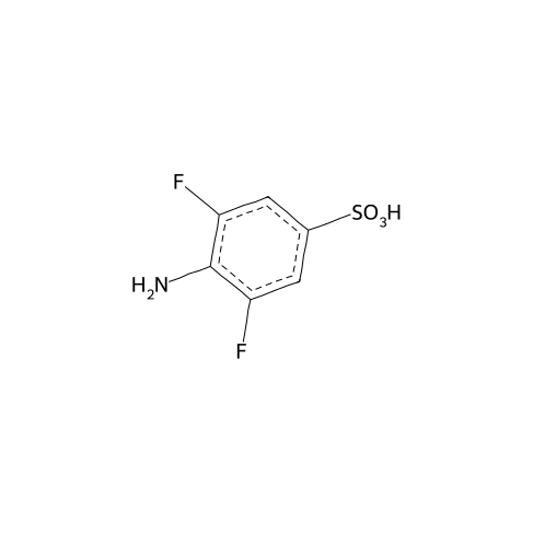 Nc1c(F)cc(S(=O)(=O)O)cc1F